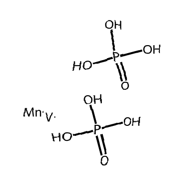 O=P(O)(O)O.O=P(O)(O)O.[Mn].[V]